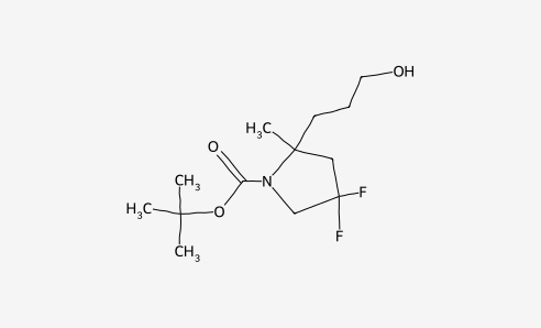 CC(C)(C)OC(=O)N1CC(F)(F)CC1(C)CCCO